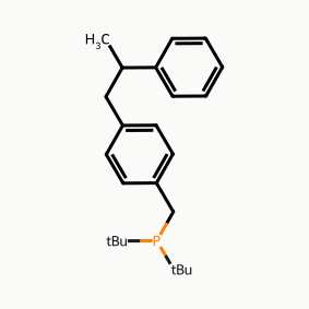 CC(Cc1ccc(CP(C(C)(C)C)C(C)(C)C)cc1)c1ccccc1